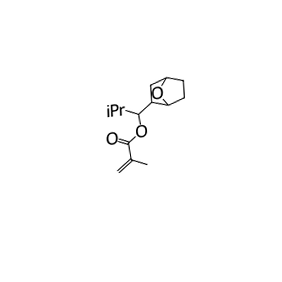 C=C(C)C(=O)OC(C(C)C)C1CC2CCC1O2